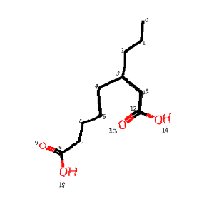 CCCC(CCCCC(=O)O)CC(=O)O